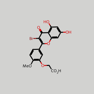 COc1ccc(-c2oc3cc(O)cc(O)c3c(=O)c2Br)cc1OCC(=O)O